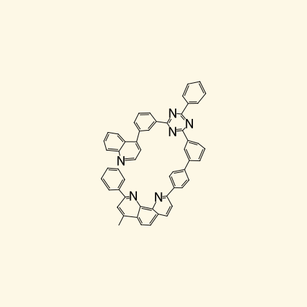 Cc1cc(-c2ccccc2)nc2c1ccc1ccc(-c3ccc(-c4cccc(-c5nc(-c6ccccc6)nc(-c6cccc(-c7ccnc8ccccc78)c6)n5)c4)cc3)nc12